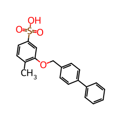 Cc1ccc(S(=O)(=O)O)cc1OCc1ccc(-c2ccccc2)cc1